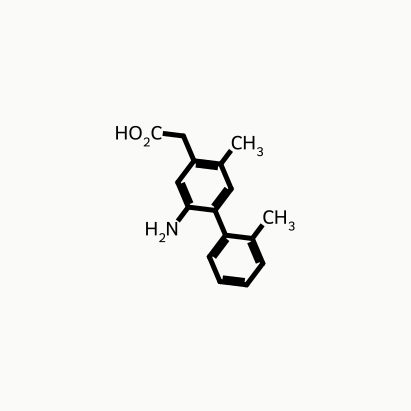 Cc1cc(-c2ccccc2C)c(N)cc1CC(=O)O